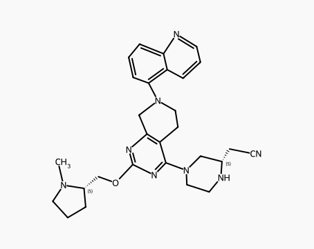 CN1CCC[C@H]1COc1nc2c(c(N3CCN[C@@H](CC#N)C3)n1)CCN(c1cccc3ncccc13)C2